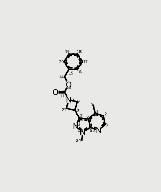 Cc1ccnc2c1c(C1CN(C(=O)OCc3ccccc3)C1)nn2C